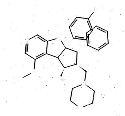 COc1cncc2c1[C@]1(O)[C@H](O)[C@H](CN3CCOCC3)[C@@H](c3ccccc3)[C@]1(c1ccc(Br)cc1)O2